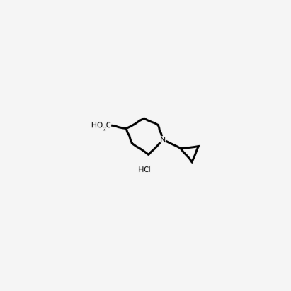 Cl.O=C(O)C1CCN(C2CC2)CC1